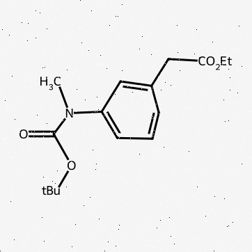 CCOC(=O)Cc1cccc(N(C)C(=O)OC(C)(C)C)c1